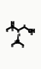 CN(C)C.CNCCO